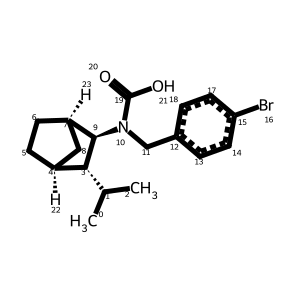 CC(C)[C@@H]1[C@H]2CC[C@H](C2)[C@H]1N(Cc1ccc(Br)cc1)C(=O)O